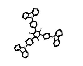 Fc1c(-c2ccc(-n3c4ccccc4c4ccccc43)cc2)c(F)c(-c2ccc(-n3c4ccccc4c4ccccc43)cc2)c(F)c1-c1ccc(-n2c3ccccc3c3ccccc32)cc1